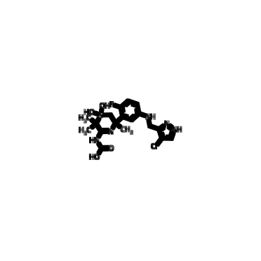 CC1(c2cc(NCc3n[nH]cc3Cl)ccc2F)CS(O)(O)C(C)(C)C(NC(=O)O)=N1